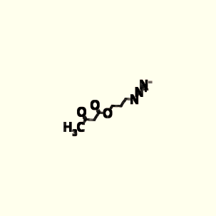 CC(=O)CC(=O)OCCCN=[N+]=[N-]